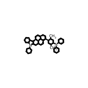 Cc1cc(N(c2ccccc2)c2ccccc2)c(C)cc1-c1ccc2ccc3c4c(ccc1c24)cc1c3c2ccccc2n1-c1ccccc1